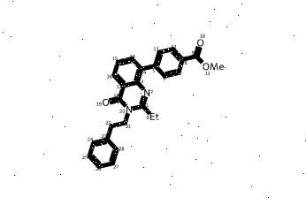 CCc1nc2c(-c3ccc(C(=O)OC)cc3)cccc2c(=O)n1CCc1ccccc1